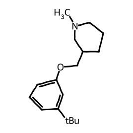 CN1CCCC(COc2cccc(C(C)(C)C)c2)C1